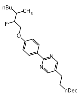 CCCCCCCCCCCCc1cnc(-c2ccc(OCC(F)C(C)CCCC)cc2)nc1